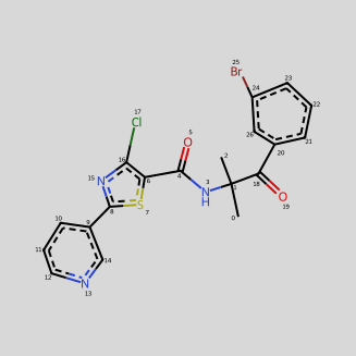 CC(C)(NC(=O)c1sc(-c2cccnc2)nc1Cl)C(=O)c1cccc(Br)c1